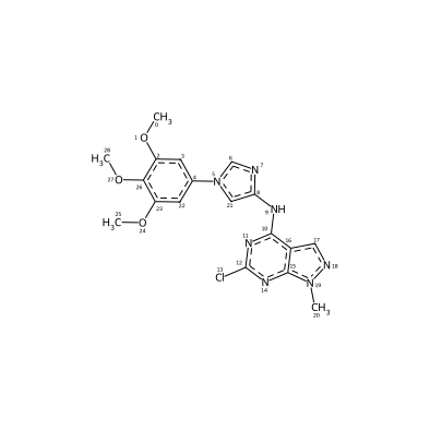 COc1cc(-n2cnc(Nc3nc(Cl)nc4c3cnn4C)c2)cc(OC)c1OC